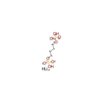 O=S(=O)(O)OCCCCOS(=O)(=O)O.[LiH]